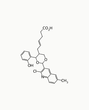 Cc1ccc2nc(Cl)c(C3OCC(CC=CCCC(=O)O)C(c4ccccc4O)O3)cc2c1